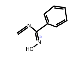 C=N/C(=N\O)c1ccccc1